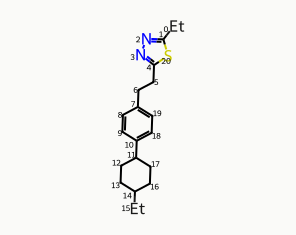 CCc1nnc(CCc2ccc(C3CCC(CC)CC3)cc2)s1